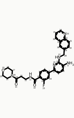 Nc1ccc(-c2ccc(C(=O)NCCC(=O)N3CCOCC3)c(F)c2)nc1NCc1ccc2ncccc2c1